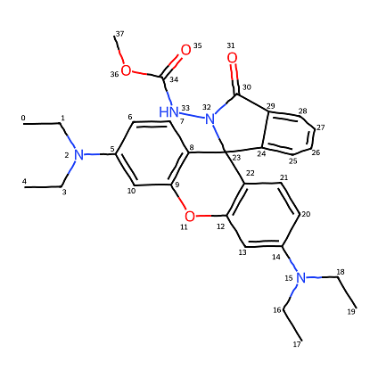 CCN(CC)c1ccc2c(c1)Oc1cc(N(CC)CC)ccc1C21c2ccccc2C(=O)N1NC(=O)OC